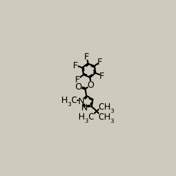 Cn1nc(C(C)(C)C)cc1C(=O)Oc1c(F)c(F)c(F)c(F)c1F